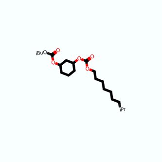 CC(C)CCCCCCCOC(=O)OC1CCCC(OC(=O)OCC(C)C)C1